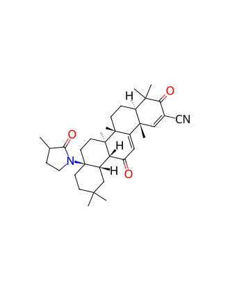 CC1CCN([C@]23CCC(C)(C)C[C@H]2[C@H]2C(=O)C=C4[C@@]5(C)C=C(C#N)C(=O)C(C)(C)[C@@H]5CC[C@@]4(C)[C@]2(C)CC3)C1=O